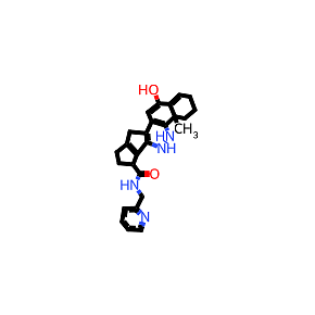 CC12CCCC=C1C(O)=CC1=C2NNC2=C1CC1=C2C(C(=O)NCc2ccccn2)CC1